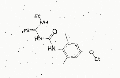 CCNC(=N)NC(=O)Nc1c(C)cc(OCC)cc1C